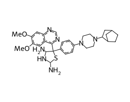 COc1cc2ncnc(C3(c4ccc(N5CCN(C6CC7CCC6C7)CC5)cc4)SC(N)NC3N)c2cc1OC